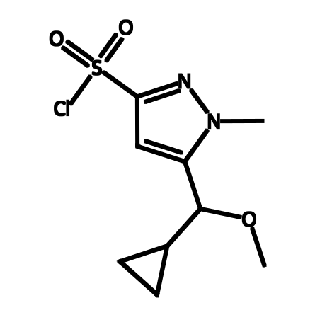 COC(c1cc(S(=O)(=O)Cl)nn1C)C1CC1